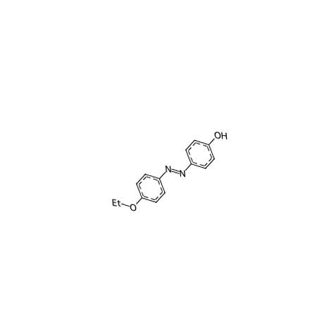 CCOc1ccc(/N=N/c2ccc(O)cc2)cc1